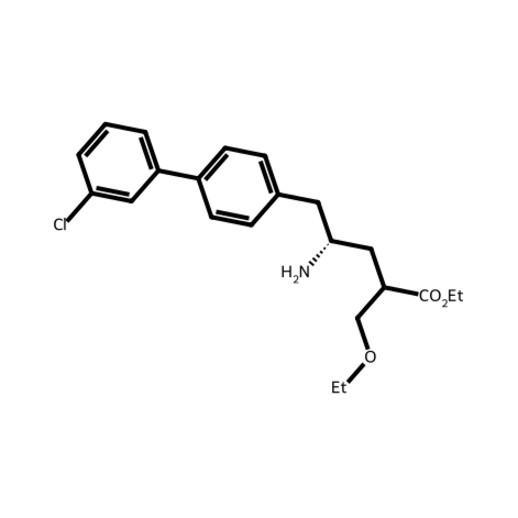 CCOCC(C[C@H](N)Cc1ccc(-c2cccc(Cl)c2)cc1)C(=O)OCC